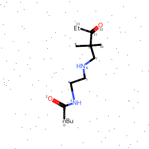 CCCCC(=O)NCCNCC(C)(C)C(=O)CC